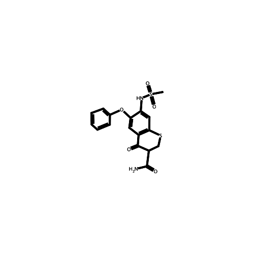 CS(=O)(=O)Nc1cc2c(cc1Oc1ccccc1)C(=O)C(C(N)=O)CS2